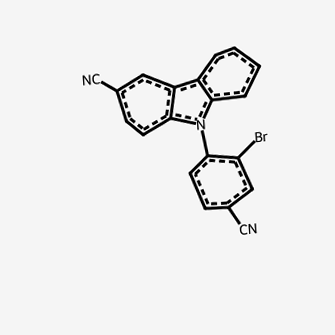 N#Cc1ccc(-n2c3ccccc3c3cc(C#N)ccc32)c(Br)c1